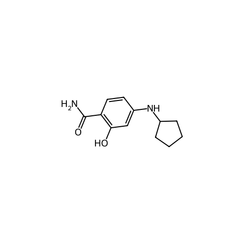 NC(=O)c1ccc(NC2CCCC2)cc1O